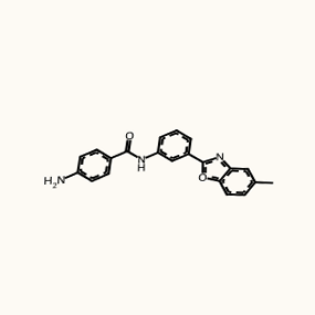 Cc1ccc2oc(-c3cccc(NC(=O)c4ccc(N)cc4)c3)nc2c1